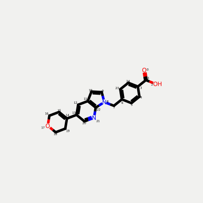 O=C(O)c1ccc(Cn2ccc3cc(C4=CCOCC4)cnc32)cc1